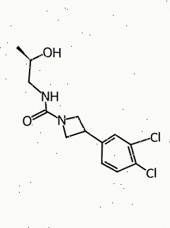 C[C@@H](O)CNC(=O)N1CC(c2ccc(Cl)c(Cl)c2)C1